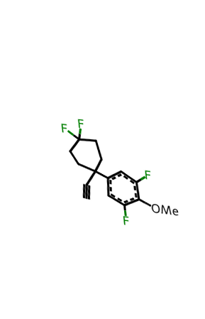 C#CC1(c2cc(F)c(OC)c(F)c2)CCC(F)(F)CC1